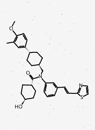 COc1ccc([C@H]2CC[C@H](CN(c3cccc(/C=C/c4nccs4)c3)C(=O)[C@H]3CC[C@H](O)CC3)CC2)cc1C